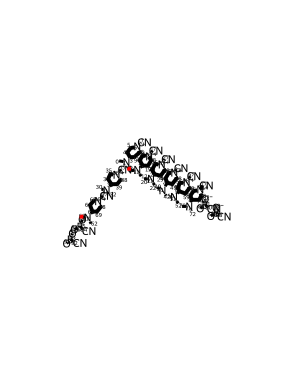 CN(C)c1cc[n+](C#N)cc1.CN(C)c1cc[n+](C#N)cc1.CN(C)c1cc[n+](C#N)cc1.CN(C)c1cc[n+](C#N)cc1.CN(C)c1cc[n+](C#N)cc1.CN(C)c1cc[n+](C#N)cc1.CN(C)c1cc[n+](C#N)cc1.CN(C)c1cc[n+](C#N)cc1.N#CB([O-])[O-].N#CB([O-])[O-].N#CB([O-])[O-].N#CB([O-])[O-]